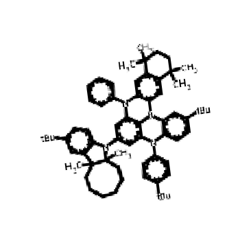 CC(C)(C)c1ccc(N2c3ccc(C(C)(C)C)cc3B3c4cc5c(cc4N(c4ccccc4)c4cc(N6c7ccc(C(C)(C)C)cc7C7(C)CCCCCCC67C)cc2c43)C(C)(C)CCC5(C)C)cc1